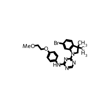 COCCOc1ccc(Nc2ncnc(N3CC(C)(C)c4ccc(Br)cc43)n2)cc1